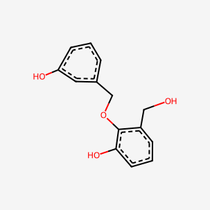 OCc1cccc(O)c1OCc1cccc(O)c1